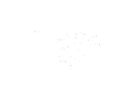 CCCCCCN(C(=O)C1=C(C(N)=O)CCCC1)c1cc(OC(C)P(C)CC)c(Cl)cc1Cl